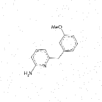 COc1cccc(Cc2cccc(N)n2)c1